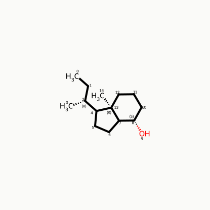 CC[C@@H](C)C1CCC2[C@@H](O)CCC[C@]12C